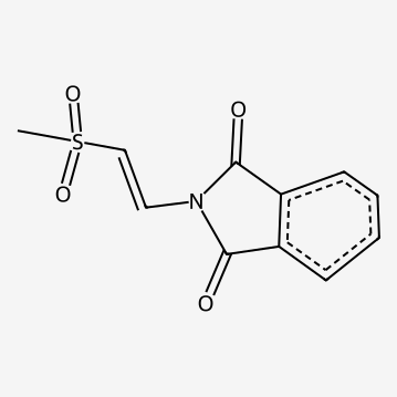 CS(=O)(=O)/C=C/N1C(=O)c2ccccc2C1=O